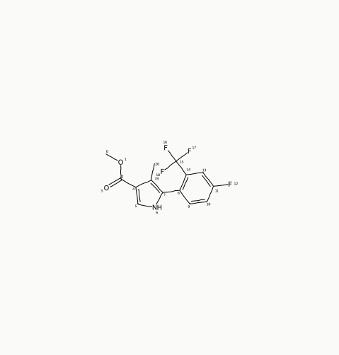 COC(=O)c1c[nH]c(-c2ccc(F)cc2C(F)(F)F)c1C